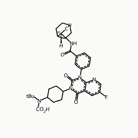 CC(C)(C)N(C(=O)O)C1CCC(n2c(=O)c3cc(F)cnc3n(-c3cccc(C(=O)N[C@H]4CN5CCC4CC5)c3)c2=O)CC1